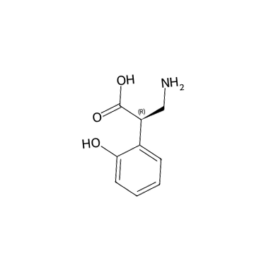 NC[C@H](C(=O)O)c1ccccc1O